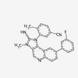 Cc1ccc(C#N)cc1-n1c(=N)n(C)c2cnc3ccc(-c4cccc(F)c4)cc3c21